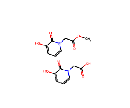 COC(=O)Cn1cccc(O)c1=O.O=C(O)Cn1cccc(O)c1=O